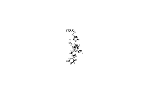 O=C(O)CCn1ncc2c1CCCC2NS(=O)(=O)c1ccc(-c2ccccc2)cc1C(F)(F)F